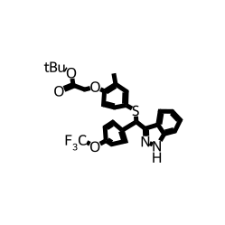 Cc1cc(SC(c2ccc(OC(F)(F)F)cc2)c2n[nH]c3ccccc23)ccc1OCC(=O)OC(C)(C)C